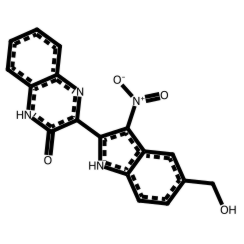 O=c1[nH]c2ccccc2nc1-c1[nH]c2ccc(CO)cc2c1[N+](=O)[O-]